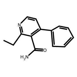 CCc1nccc(-c2ccccc2)c1C(N)=O